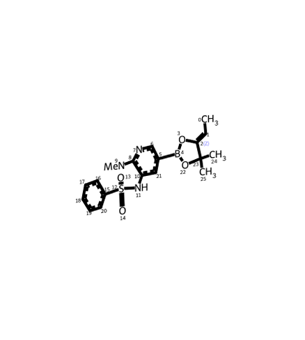 C/C=C1\OB(c2cnc(NC)c(NS(=O)(=O)c3ccccc3)c2)OC1(C)C